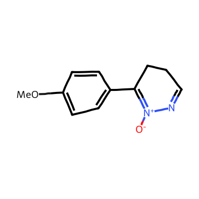 COc1ccc(C2=[N+]([O-])N=CCC2)cc1